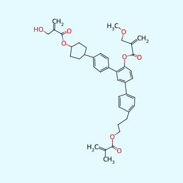 C=C(C)C(=O)OCCCc1ccc(-c2ccc(OC(=O)C(=C)COC)c(-c3ccc(C4CCC(OC(=O)C(=C)CO)CC4)cc3)c2)cc1